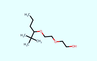 CCCC(OCCOCCO)C(C)(C)C